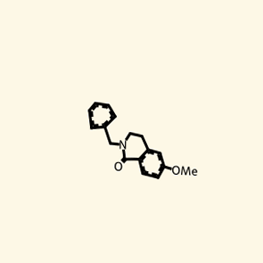 COc1ccc2c(c1)CCN(Cc1ccccc1)C2=O